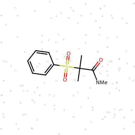 CNC(=O)C(C)(C)S(=O)(=O)c1ccccc1